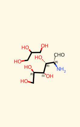 N[C@@H](C=O)[C@@H](O)[C@H](O)[C@H](O)CO.OCC(O)CO